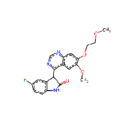 COCCOc1cc2ncnc(C3C(=O)Nc4ccc(F)cc43)c2cc1OC